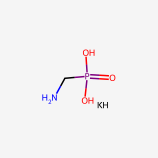 NCP(=O)(O)O.[KH]